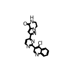 O=C1NCCn2nc(-c3ccnc(-c4cnc5ccccc5c4Cl)n3)cc21